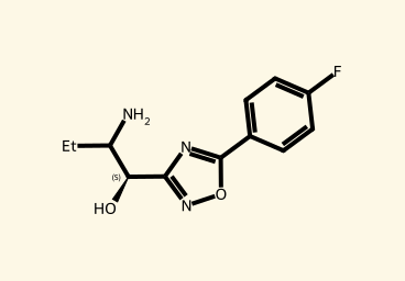 CCC(N)[C@H](O)c1noc(-c2ccc(F)cc2)n1